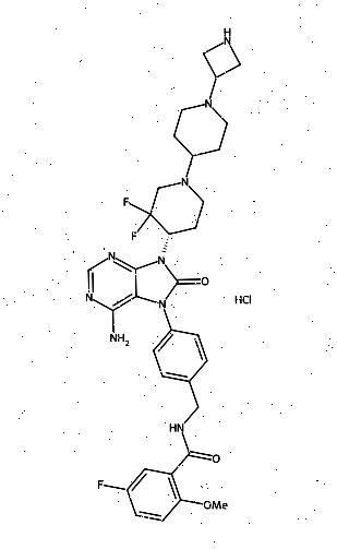 COc1ccc(F)cc1C(=O)NCc1ccc(-n2c(=O)n([C@H]3CCN(C4CCN(C5CNC5)CC4)CC3(F)F)c3ncnc(N)c32)cc1.Cl